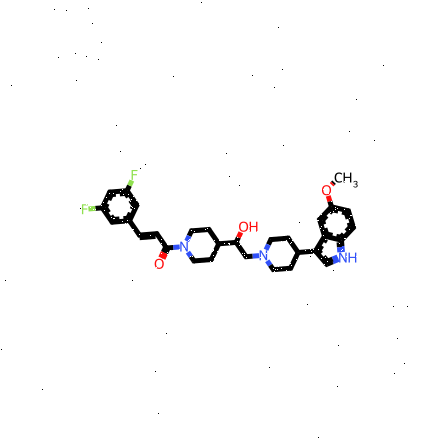 COc1ccc2[nH]cc(C3CCN(CC(O)C4CCN(C(=O)C=Cc5cc(F)cc(F)c5)CC4)CC3)c2c1